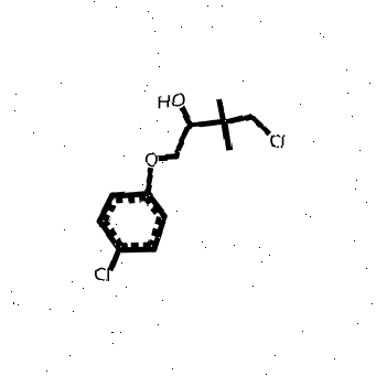 CC(C)(CCl)C(O)COc1ccc(Cl)cc1